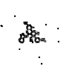 CC1=C(C(=O)On2nnc3ccccc32)C(c2ccc(C#N)cc2)NC(=O)N1c1cccc(C(F)(F)F)c1